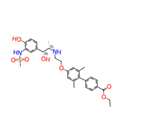 CCOC(=O)c1ccc(-c2c(C)cc(OCCN[C@@H](C)[C@H](O)c3ccc(O)c(NS(C)(=O)=O)c3)cc2C)cc1